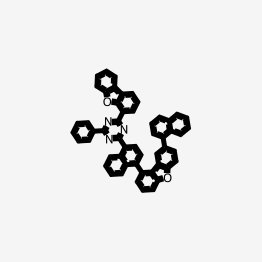 c1ccc(-c2nc(-c3ccc(-c4cccc5oc6ccc(-c7cccc8ccccc78)cc6c45)c4ccccc34)nc(-c3cccc4c3oc3ccccc34)n2)cc1